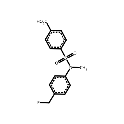 CN(c1ccc(CF)cc1)S(=O)(=O)c1ccc(C(=O)O)cc1